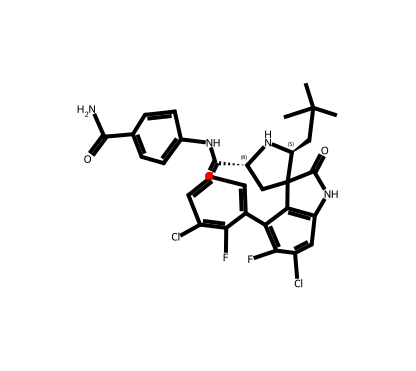 CC(C)(C)C[C@@H]1N[C@@H](C(=O)Nc2ccc(C(N)=O)cc2)CC12C(=O)Nc1cc(Cl)c(F)c(-c3cccc(Cl)c3F)c12